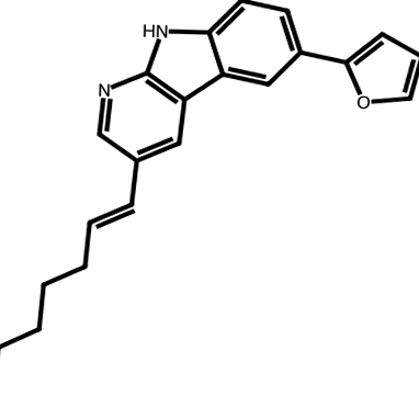 CCCCCC=Cc1cnc2[nH]c3ccc(-c4ccco4)cc3c2c1